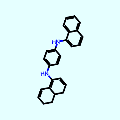 C1=CC2=C(Nc3ccc(Nc4cccc5ccccc45)cc3)C=CCC2CC1